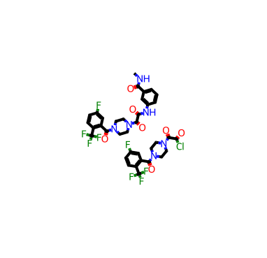 CNC(=O)c1cccc(NC(=O)C(=O)N2CCN(C(=O)c3cc(F)ccc3C(F)(F)F)CC2)c1.O=C(Cl)C(=O)N1CCN(C(=O)c2cc(F)ccc2C(F)(F)F)CC1